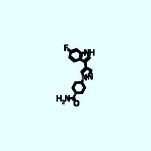 NC(=O)[C@H]1CC[C@@H](n2cc(-c3c[nH]c4cc(F)ccc34)cn2)CC1